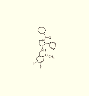 COc1cc(F)c(F)cc1CNC1CCN(C(=O)C2CCCCC2)C1c1ccccc1